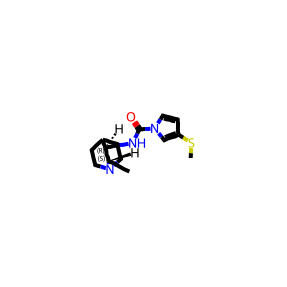 CSc1ccn(C(=O)N[C@@H]2C3CCN(CC3)[C@H]2C)c1